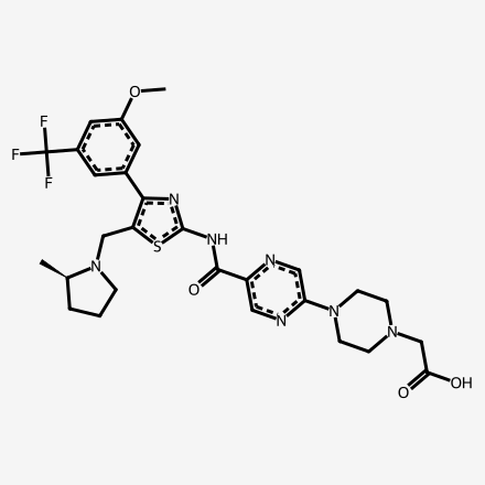 COc1cc(-c2nc(NC(=O)c3cnc(N4CCN(CC(=O)O)CC4)cn3)sc2CN2CCC[C@H]2C)cc(C(F)(F)F)c1